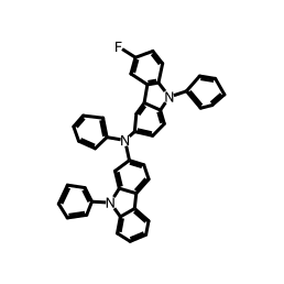 Fc1ccc2c(c1)c1cc(N(c3ccccc3)c3ccc4c5ccccc5n(-c5ccccc5)c4c3)ccc1n2-c1ccccc1